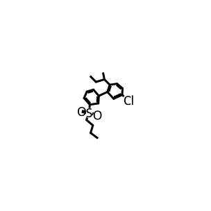 CCCCS(=O)(=O)c1cccc(-c2cc(Cl)ccc2C(C)CC)c1